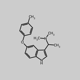 Cc1ccc(Oc2ccc3[nH]cc(C(C)N(C)C)c3c2)cc1